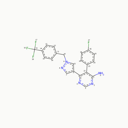 Nc1ncnc(-c2cnn(Cc3ccc(C(F)(F)F)cc3)c2)c1-c1ccc(F)cc1